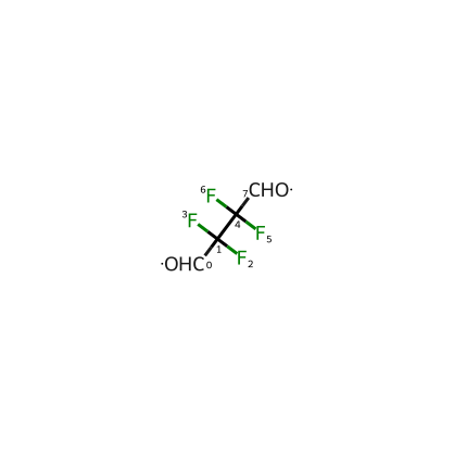 O=[C]C(F)(F)C(F)(F)[C]=O